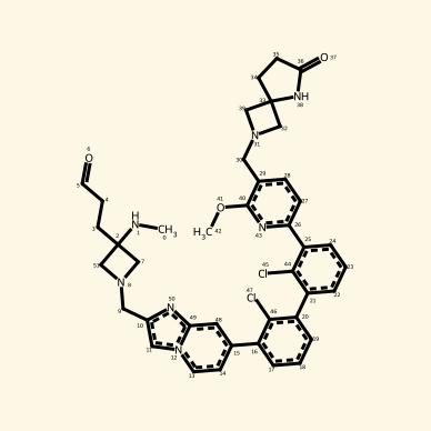 CNC1(CCC=O)CN(Cc2cn3ccc(-c4cccc(-c5cccc(-c6ccc(CN7CC8(CCC(=O)N8)C7)c(OC)n6)c5Cl)c4Cl)cc3n2)C1